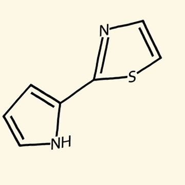 c1c[nH]c(-c2nccs2)c1